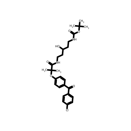 CC(C)(C)OC(=O)NCCC(O)CCNC(=O)C(C)(C)Oc1ccc(C(=O)c2ccc(Cl)cc2)cc1